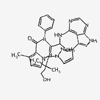 Cc1ccn2nc(C(C)Nc3ncnc4[nH]cc(-c5ccn(CC(C)(C)CO)n5)c34)n(-c3ccccc3)c(=O)c12